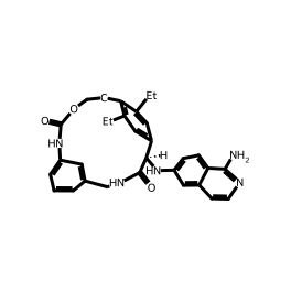 CCc1cc2cc(CC)c1CCOC(=O)Nc1cccc(c1)CNC(=O)[C@@H]2Nc1ccc2c(N)nccc2c1